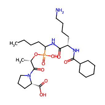 CCCCC(NC(=O)[C@H](CCCCN)NC(=O)C1CCCCC1)P(=O)(O)O[C@@H](C)C(=O)N1CCC[C@H]1C(=O)O